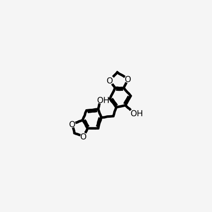 Oc1cc2c(cc1Cc1cc3c(cc1O)OCO3)OCO2